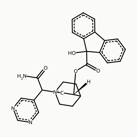 NC(=O)C(c1cncnc1)[N+]12CCC(CC1)[C@@H](OC(=O)C1(O)c3ccccc3-c3ccccc31)C2